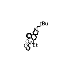 CCN(C(=O)C1CCCO1)[C@H]1CCC2(CCN(CCC(C)(C)C)CC2)c2ccccc21